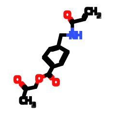 C=CC(=O)NCc1ccc(C(=O)OCC(C)=O)cc1